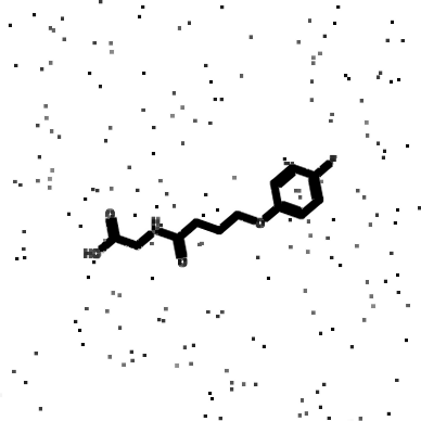 O=C(O)CNC(=O)CCCOc1ccc(F)cc1